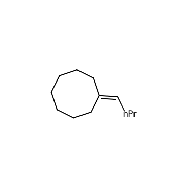 CCCC=C1CCCCCCC1